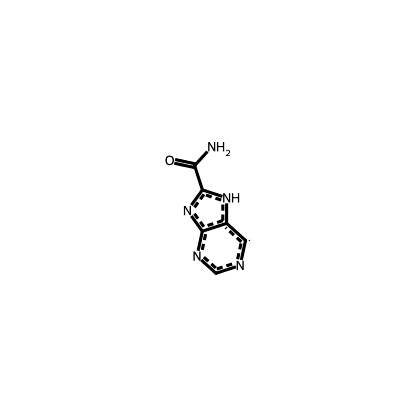 NC(=O)c1nc2ncn[c]c2[nH]1